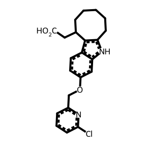 O=C(O)CC1CCCCCc2[nH]c3cc(OCc4cccc(Cl)n4)ccc3c21